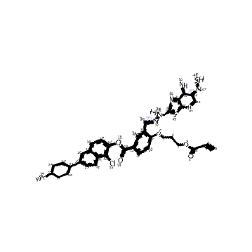 C=CC(=O)OCCCOc1ccc(C(=O)Oc2ccc3cc(C4CCC(CCC)CC4)ccc3c2Cl)cc1/C=N/Nc1nc2c(s1)N=C/C(=N/S)C2=N